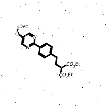 CCCCCCCCCCOc1cnc(-c2ccc(CCC(C(=O)OCC)C(=O)OCC)cc2)nc1